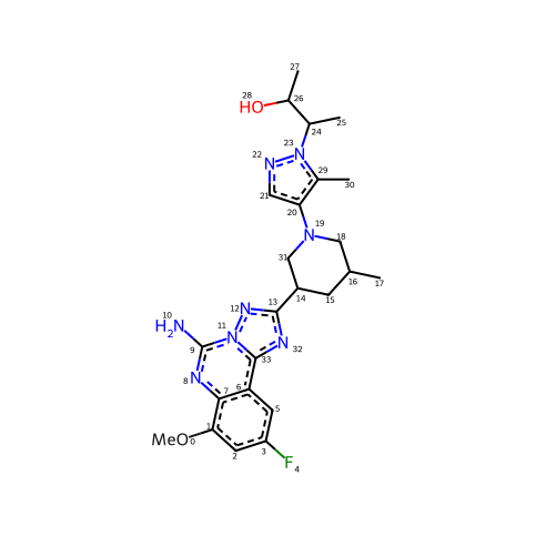 COc1cc(F)cc2c1nc(N)n1nc(C3CC(C)CN(c4cnn(C(C)C(C)O)c4C)C3)nc21